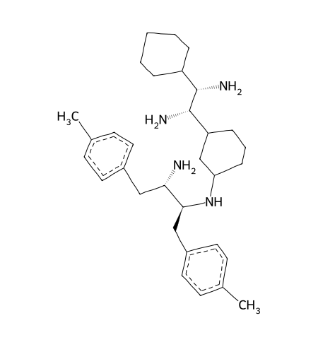 Cc1ccc(C[C@H](NC2CCCC([C@H](N)[C@@H](N)C3CCCCC3)C2)[C@@H](N)Cc2ccc(C)cc2)cc1